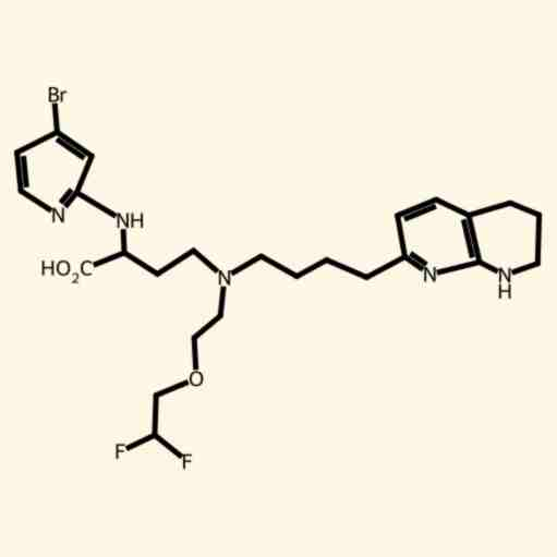 O=C(O)C(CCN(CCCCc1ccc2c(n1)NCCC2)CCOCC(F)F)Nc1cc(Br)ccn1